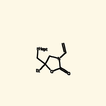 C=CN1CC(CC)(CCCCCCCC)OC1=O